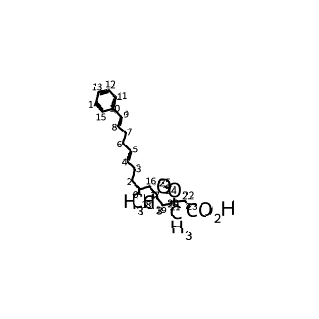 C[C@@H](CC/C=C/CC/C=C/c1ccccc1)C[C@]1(C)C[C@@](C)(CC(=O)O)OO1